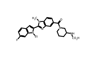 CCn1c(-c2nc3cc(C(=O)N4CCCC(NC(=O)O)C4)ccc3n2C)cc2ccc(F)cc21